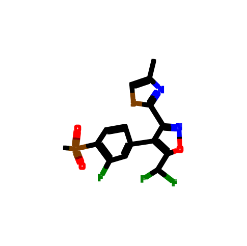 Cc1csc(-c2noc(C(F)F)c2-c2ccc(S(C)(=O)=O)c(F)c2)n1